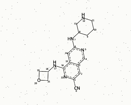 N#Cc1cc2cnc(NC3CCCNC3)cc2c(NC2COC2)n1